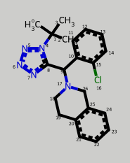 CC(C)(C)n1nnnc1C(c1ccccc1Cl)N1CCc2ccccc2C1